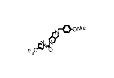 COc1ccc(CN2CC3CN(C(=O)n4cc(C(F)(F)F)cn4)CC3C2)cc1